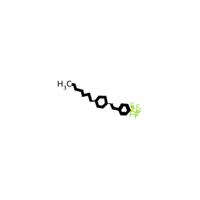 CCCCCCC[C@H]1CC[C@H](CCc2ccc(S(F)(F)(F)(F)F)cc2)CC1